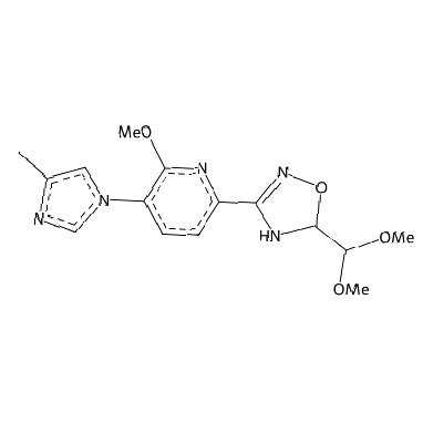 COc1nc(C2=NOC(C(OC)OC)N2)ccc1-n1cnc(C)c1